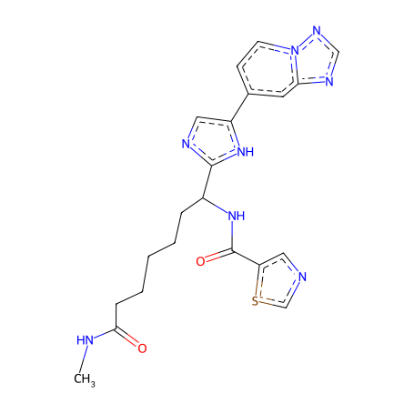 CNC(=O)CCCCCC(NC(=O)c1cncs1)c1ncc(-c2ccn3ncnc3c2)[nH]1